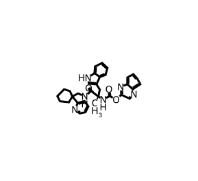 C[C@@](Cc1c[nH]c2ccccc12)(NC(=O)Oc1cnc2ccccc2n1)C(=O)NCC1(c2ccccn2)CCCCC1